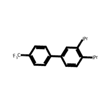 CC(C)c1ccc(-c2ccc(C(F)(F)F)cc2)cc1C(C)C